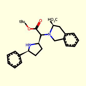 CC(C)(C)OC(=O)C([C@H]1CC[C@@H](c2ccccc2)N1)N1Cc2ccccc2C[C@@H]1C(=O)O